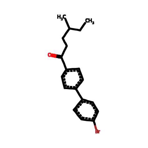 CCC(C)CCC(=O)c1ccc(-c2ccc(Br)cc2)cc1